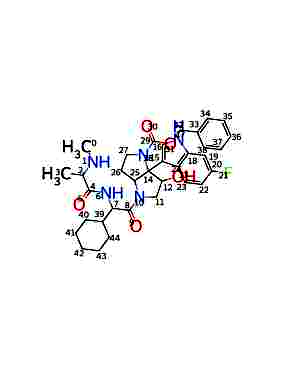 CNC(C)C(=O)NC(C(=O)N1CC(O)C2(c3c[nH]c4cc(F)ccc34)C1CCN2C(=O)OCc1ccccc1)C1CCCCC1